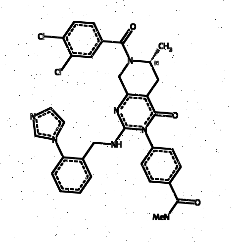 CNC(=O)c1ccc(-n2c(NCc3ccccc3-n3ccnc3)nc3c(c2=O)C[C@@H](C)N(C(=O)c2ccc(Cl)c(Cl)c2)C3)cc1